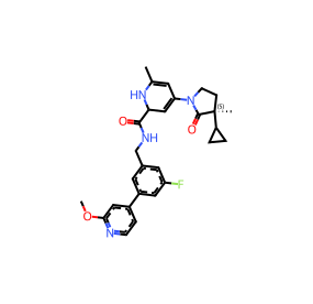 COc1cc(-c2cc(F)cc(CNC(=O)C3C=C(N4CC[C@@](C)(C5CC5)C4=O)C=C(C)N3)c2)ccn1